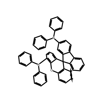 c1ccc(N(c2ccccc2)c2ccc3c(c2)C2(c4ccccc4-3)c3cccc(N(c4ccccc4)c4ccccc4)c3Oc3ccc4ccccc4c32)cc1